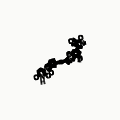 COc1cc(-c2cn(C)c(=O)c3c2COC3)cc(OC)c1CN1CC(C#Cc2ccc3c(c2)C(=O)N(C2CCC(=O)NC2=O)C3)C1